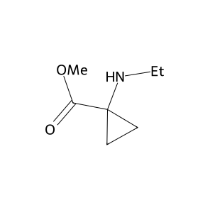 CCNC1(C(=O)OC)CC1